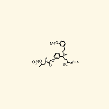 CCCCCCC(C#N)CCC(c1cccc(OCC(=O)NCC(C)O[N+](=O)[O-])c1)N(C)CCc1cccc(OC)c1